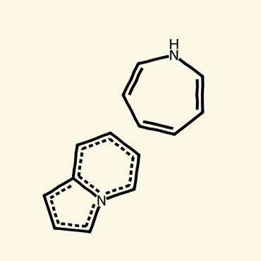 C1=CC=CNC=C1.c1ccn2cccc2c1